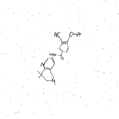 CC(C)Oc1ccc(C(=O)Nc2cnc3c(c2)CN(C)CC3(C)C)cc1C#N